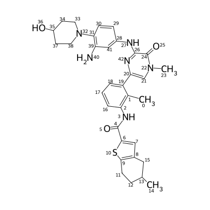 Cc1c(NC(=O)c2cc3c(s2)CCC(C)C3)cccc1-c1cn(C)c(=O)c(Nc2ccc(N3CCC(O)CC3)c(N)c2)n1